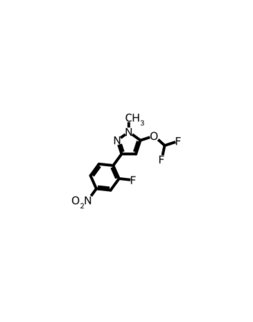 Cn1nc(-c2ccc([N+](=O)[O-])cc2F)cc1OC(F)F